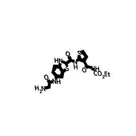 CCOC(=O)NC(=O)c1ccsc1NC(=O)C1Nc2ccc(NC(=O)CN)cc2S1